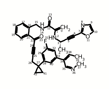 C=C(N[C@@H](C)C#Cc1ncco1)C(=O)NCc1ccccc1C(=O)C#CCC1(c2cc(F)cc(C(/C=N\C)=C/C)c2)CC1